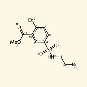 CCc1ccc(S(=O)(=O)NCCBr)cc1C(=O)OC